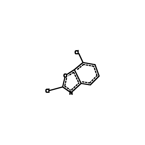 Clc1nc2cccc(Cl)c2o1